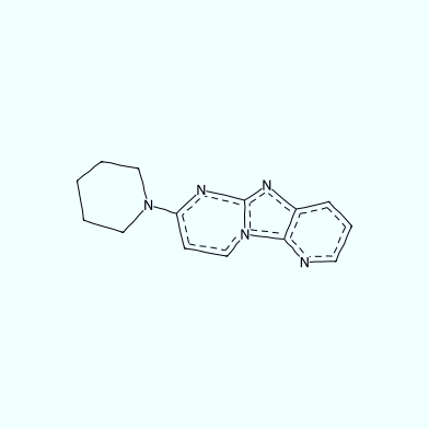 c1cnc2c(c1)nc1nc(N3CCCCC3)ccn12